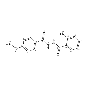 CCCCOc1ccc(C(=O)NNC(=O)c2ccccc2Cl)cc1